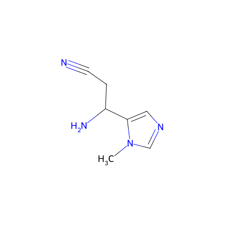 Cn1cncc1C(N)CC#N